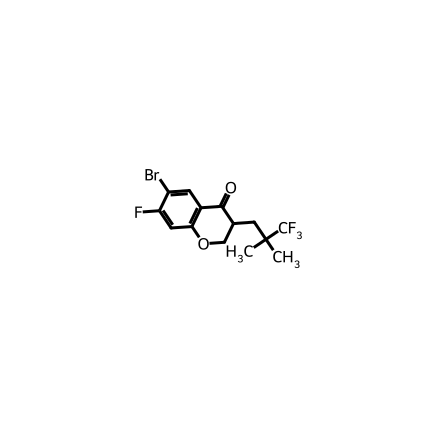 CC(C)(CC1COc2cc(F)c(Br)cc2C1=O)C(F)(F)F